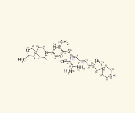 CC1CC2(CCN(c3cnc(S/C(=C/C=C/C[C@@H]4CC5(CCNCC5)CO4)C(Cl)=C(N)N)c(N)n3)CC2)CO1